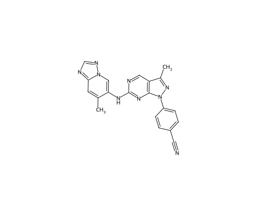 Cc1cc2ncnn2cc1Nc1ncc2c(C)nn(-c3ccc(C#N)cc3)c2n1